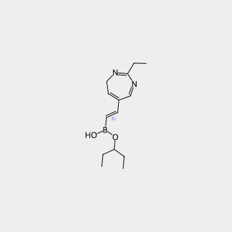 CCC1=NCC=C(/C=C/B(O)OC(CC)CC)C=N1